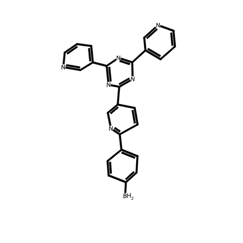 Bc1ccc(-c2ccc(-c3nc(-c4cccnc4)nc(-c4cccnc4)n3)cn2)cc1